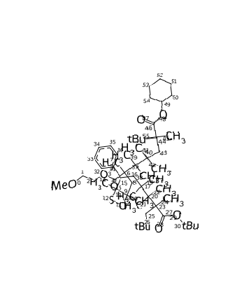 COCCOC(=O)C(C)(CC1(C)OSC1(C)C(CC(C)(C)C(C)(C)C(C)(CC(C)(C)C)C(=O)OC(C)(C)C)c1ccccc1)C(C)(C)C(C)(C)CC(C)(C(=O)OC1CCCCC1)C(C)(C)C